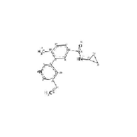 C=Cc1cncc(-c2cc(C(=O)NC3CC3)ccc2C)c1